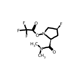 CN(C)C(=O)[C@@H]1C[C@H](F)CN1OC(=O)C(F)(F)F